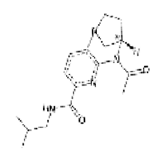 CC(=O)N1c2nc(C(=O)NCC(C)C)ccc2N2CC[C@H]1C2